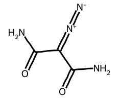 [N-]=[N+]=C(C(N)=O)C(N)=O